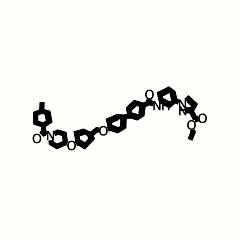 CCOC(=O)c1ccn(-c2cccc(NC(=O)c3ccc(-c4ccc(OCc5ccc(OC6CCN(C(=O)C7C=CC(C)CC7)CC6)cc5)cc4)cc3)c2)n1